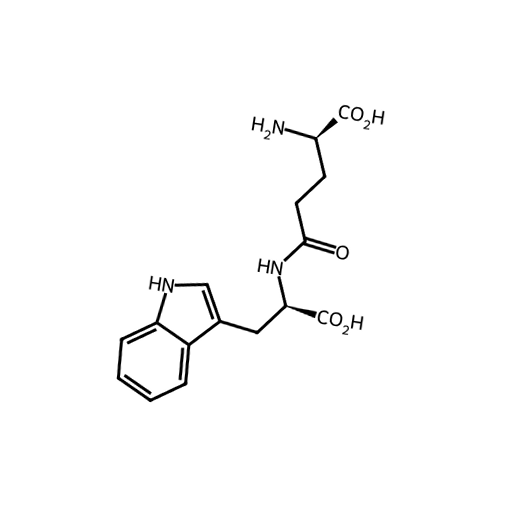 N[C@H](CCC(=O)N[C@H](Cc1c[nH]c2ccccc12)C(=O)O)C(=O)O